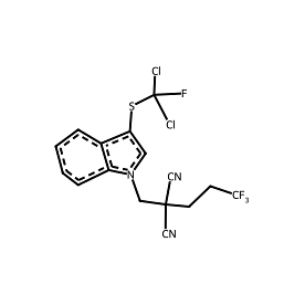 N#CC(C#N)(CCC(F)(F)F)Cn1cc(SC(F)(Cl)Cl)c2ccccc21